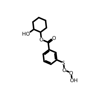 O=C(OC1CCCCC1O)c1cccc(SOOO)c1